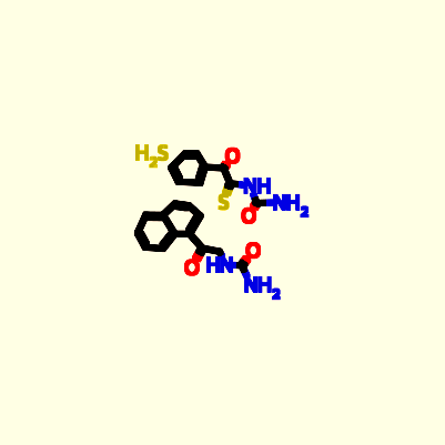 NC(=O)NC(=S)C(=O)c1ccccc1.NC(=O)NCC(=O)c1cccc2ccccc12.S